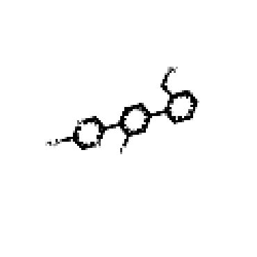 CC(C)Cc1ccccc1-c1ccc(-c2cnc(N)cn2)c(F)c1